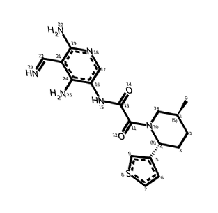 C[C@H]1CC[C@H](c2ccsc2)N(C(=O)C(=O)Nc2cnc(N)c(C=N)c2N)C1